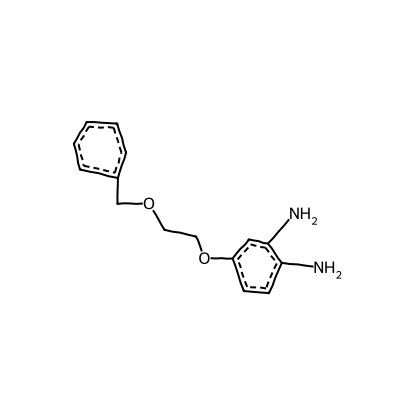 Nc1ccc(OCCOCc2ccccc2)cc1N